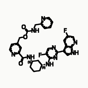 O=C(NCc1ccccn1)OCc1ccnc(C(=O)N[C@H]2CCC[C@@H](Nc3nc(-c4c[nH]c5ncc(F)cc45)ncc3F)C2)c1